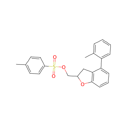 Cc1ccc(S(=O)(=O)OCC2Cc3c(cccc3-c3ccccc3C)O2)cc1